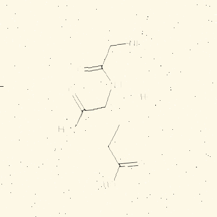 C[C@H](N)C(=O)N[C@H](CCC(=O)O)C(N)=O.Cl